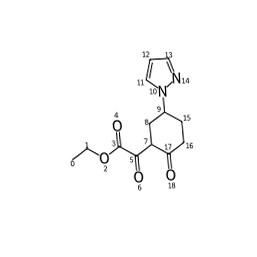 CCOC(=O)C(=O)C1CC(n2cccn2)CCC1=O